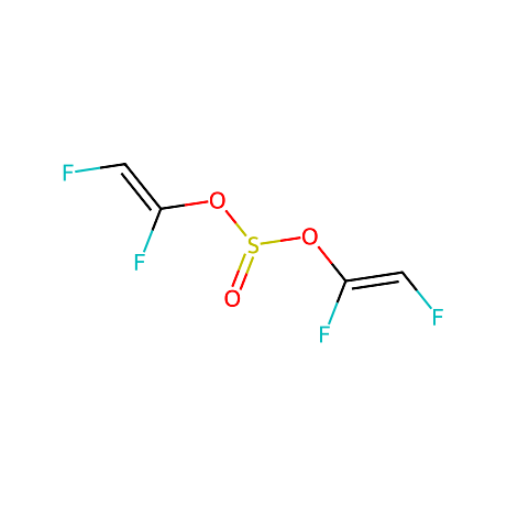 O=S(OC(F)=CF)OC(F)=CF